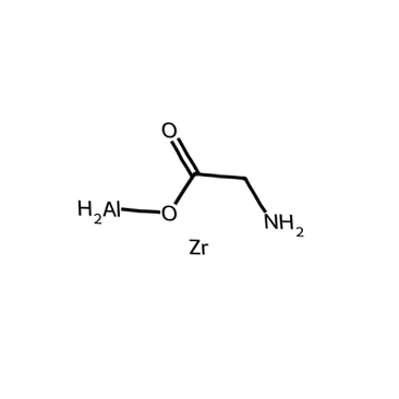 NCC(=O)[O][AlH2].[Zr]